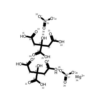 O=C(O)CC(O)(CC(=O)O)C(=O)O.O=C(O)CC(O)(CC(=O)O)C(=O)O.O=[N+]([O-])[O-].O=[N+]([O-])[O-].[Mg+2]